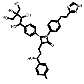 O=C1C(CC[C@H](O)c2ccc(F)cc2)[C@@H](c2ccc(C(O)C(O)C(O)(CO)CO)cc2)N1c1ccc(CCc2nc[nH]n2)cc1